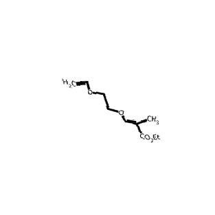 C=COCCOC=C(C)C(=O)OCC